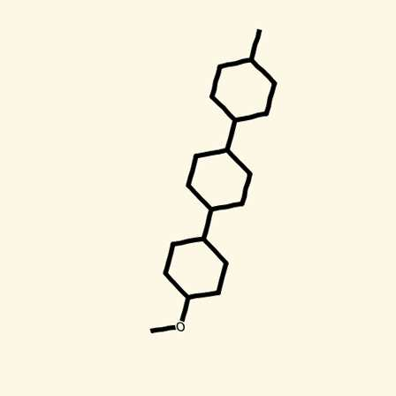 COC1CCC(C2CCC(C3CCC(C)CC3)CC2)CC1